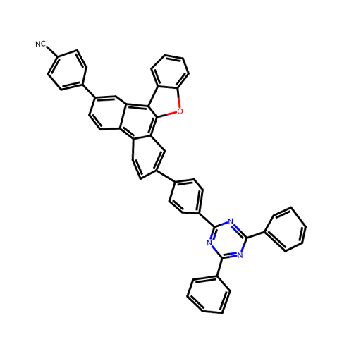 N#Cc1ccc(-c2ccc3c4ccc(-c5ccc(-c6nc(-c7ccccc7)nc(-c7ccccc7)n6)cc5)cc4c4oc5ccccc5c4c3c2)cc1